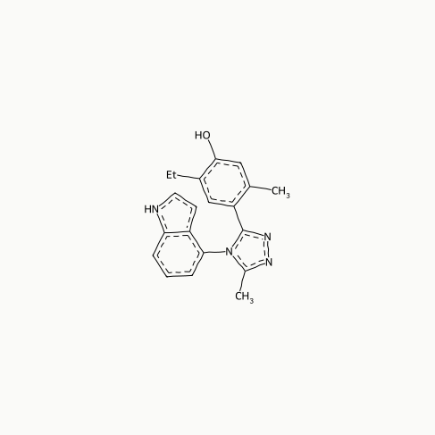 CCc1cc(-c2nnc(C)n2-c2cccc3[nH]ccc23)c(C)cc1O